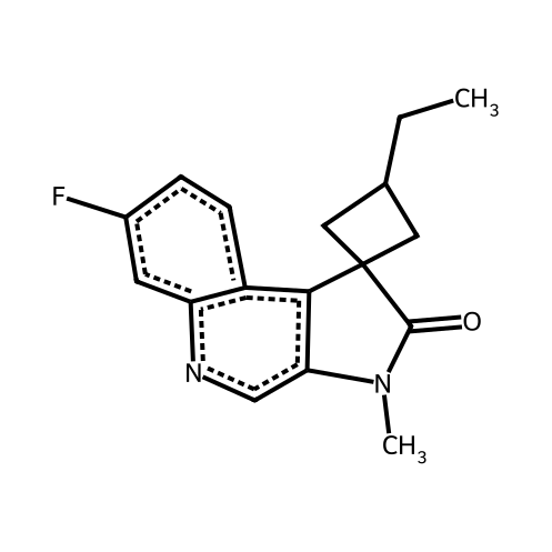 CCC1CC2(C1)C(=O)N(C)c1cnc3cc(F)ccc3c12